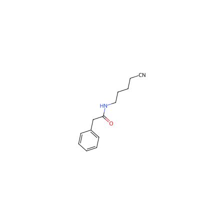 N#CCCCCNC(=O)Cc1ccccc1